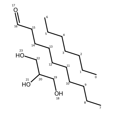 CCCCCCC.CCCCCCCCCC=O.OCC(O)CO